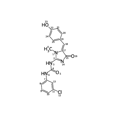 CN1C(NC(=O)Nc2cccc(Cl)c2)=NC(=O)/C1=C/c1ccc(O)cc1